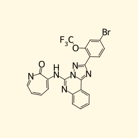 O=c1nccccc1Nc1nc2ccccc2c2nc(-c3ccc(Br)cc3OC(F)(F)F)nn12